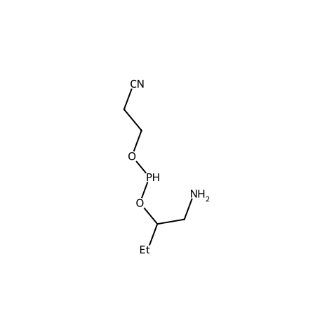 CCC(CN)OPOCCC#N